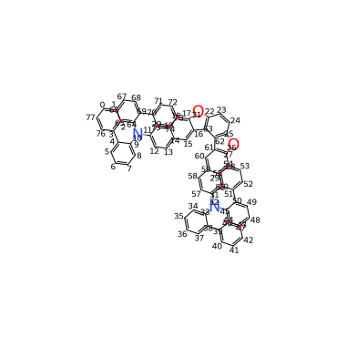 c1ccc(-c2ccccc2N(c2ccc3cc4c(cc3c2)oc2ccc3oc5cc6cc(N(c7ccccc7-c7ccccc7)c7ccccc7-c7ccccc7)ccc6cc5c3c24)c2ccccc2-c2ccccc2)cc1